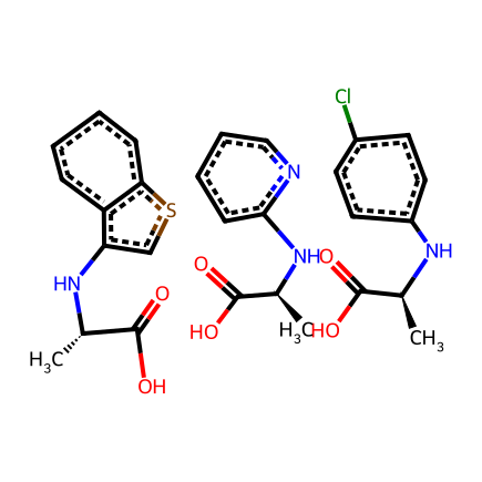 C[C@H](Nc1ccc(Cl)cc1)C(=O)O.C[C@H](Nc1ccccn1)C(=O)O.C[C@H](Nc1csc2ccccc12)C(=O)O